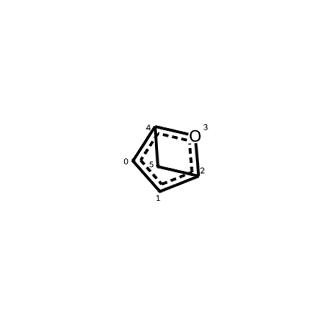 c1cc2oc1C2